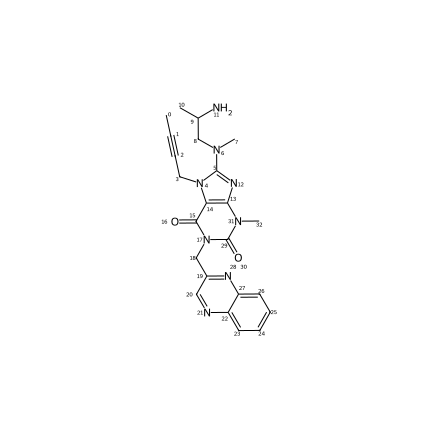 CC#CCn1c(N(C)CC(C)N)nc2c1c(=O)n(Cc1cnc3ccccc3n1)c(=O)n2C